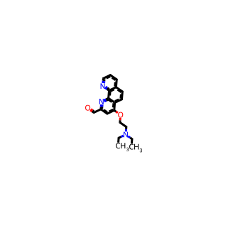 CCN(CC)CCOc1cc(C=O)nc2c1ccc1cccnc12